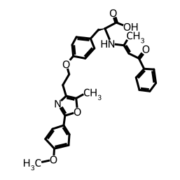 COc1ccc(-c2nc(CCOc3ccc(C[C@H](N/C(C)=C/C(=O)c4ccccc4)C(=O)O)cc3)c(C)o2)cc1